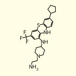 NCCN1CCC(Nc2cc(C(F)(F)F)cc3c2Nc2ccc(C4CCCC4)cc2S3)CC1